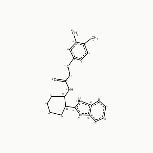 Cc1ccc(OCC(=O)NC2CCCCC2c2nc3ccccc3[nH]2)cc1C